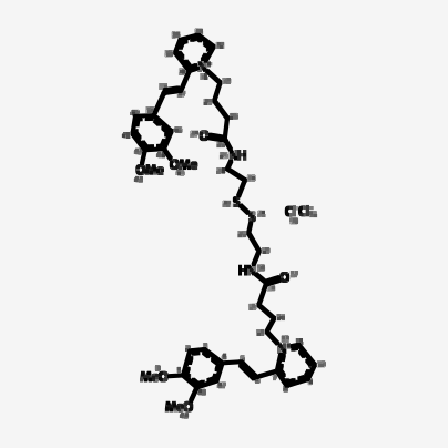 COc1ccc(C=Cc2cccc[n+]2CCCC(=O)NCCSSCCNC(=O)CCC[n+]2ccccc2C=Cc2ccc(OC)c(OC)c2)cc1OC.[Cl-].[Cl-]